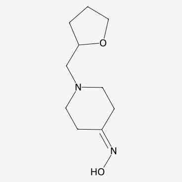 ON=C1CCN(CC2CCCO2)CC1